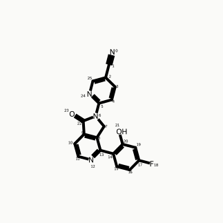 N#Cc1ccc(N2Cc3c(ccnc3-c3ccc(F)cc3O)C2=O)nc1